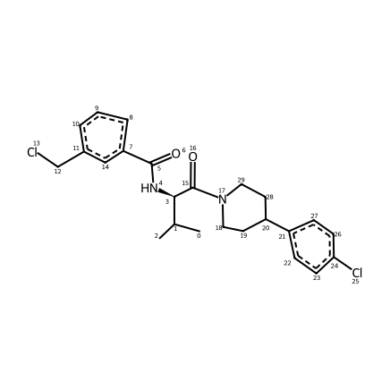 CC(C)[C@@H](NC(=O)c1cccc(CCl)c1)C(=O)N1CCC(c2ccc(Cl)cc2)CC1